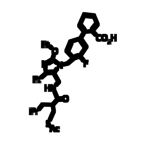 CCOc1nc(CC)c(CNC(=O)C(CSC(C)=O)CC(C)C)n1Cc1ccc(-c2ccccc2C(=O)O)cc1F